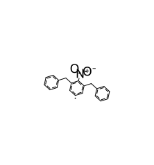 O=[N+]([O-])c1c(Cc2ccccc2)c[c]cc1Cc1ccccc1